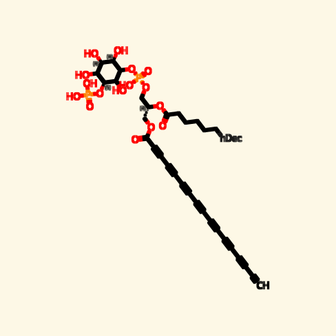 C#CC#CC#CC#CC#CC#CC#CC#CC(=O)OC[C@H](COP(=O)(O)OC1C(O)[C@@H](OP(=O)(O)O)C(O)[C@@H](O)[C@H]1O)OC(=O)CCCCCCCCCCCCCCC